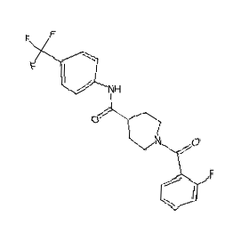 O=C(Nc1ccc(C(F)(F)F)cc1)C1CCN(C(=O)c2ccccc2F)CC1